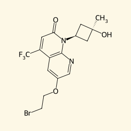 C[C@]1(O)C[C@@H](n2c(=O)cc(C(F)(F)F)c3cc(OCCBr)cnc32)C1